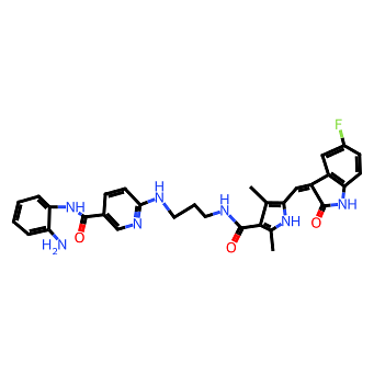 Cc1[nH]c(C=C2C(=O)Nc3ccc(F)cc32)c(C)c1C(=O)NCCCNc1ccc(C(=O)Nc2ccccc2N)cn1